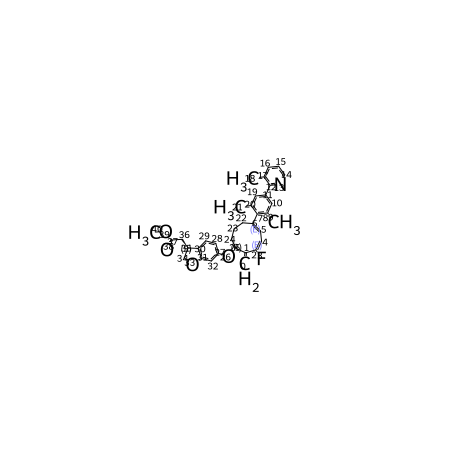 C=C1/C(F)=C\C=C(\c2c(C)cc(-c3ncccc3C)cc2C)CCC[C@H]1Oc1ccc2c(c1)OC[C@H]2CC(=O)OC